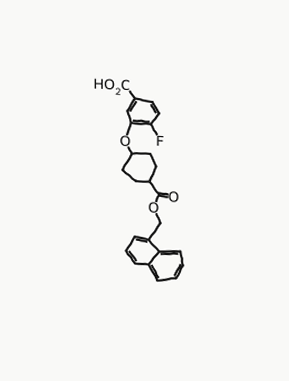 O=C(O)c1ccc(F)c(OC2CCC(C(=O)OCc3cccc4ccccc34)CC2)c1